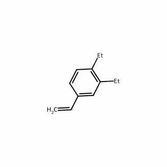 C=[C]c1ccc(CC)c(CC)c1